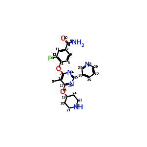 Cc1c(Oc2ccc(C(N)=O)cc2F)ncnc1OC1CCNCC1.c1ccncc1